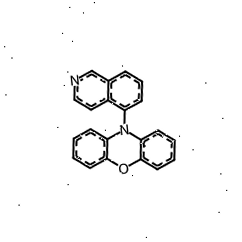 c1ccc2c(c1)Oc1ccccc1N2c1cccc2cnccc12